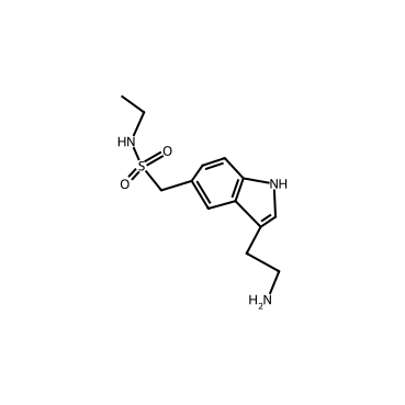 CCNS(=O)(=O)Cc1ccc2[nH]cc(CCN)c2c1